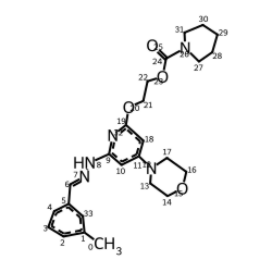 Cc1cccc(C=NNc2cc(N3CCOCC3)cc(OCCOC(=O)N3CCCCC3)n2)c1